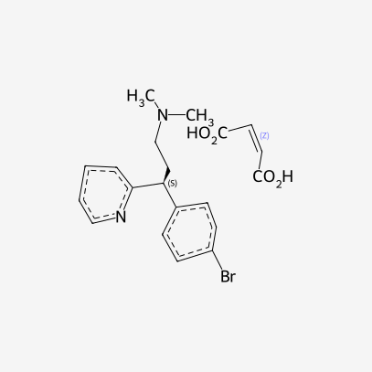 CN(C)CC[C@@H](c1ccc(Br)cc1)c1ccccn1.O=C(O)/C=C\C(=O)O